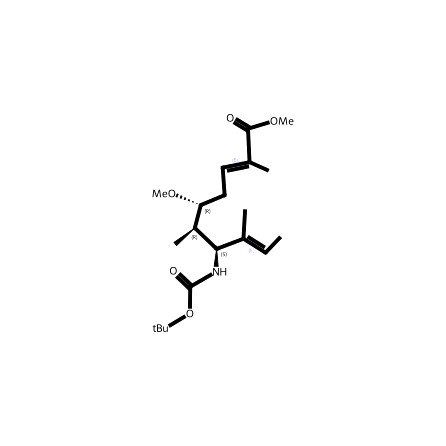 C/C=C(\C)[C@@H](NC(=O)OC(C)(C)C)[C@@H](C)[C@@H](C/C=C(\C)C(=O)OC)OC